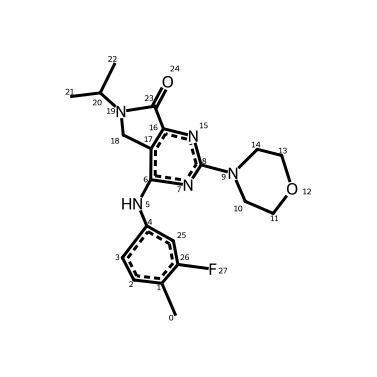 Cc1ccc(Nc2nc(N3CCOCC3)nc3c2CN(C(C)C)C3=O)cc1F